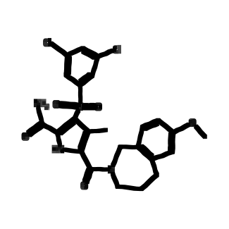 COc1ccc2c(c1)CCCN(C(=O)c1[nH]c(C(N)=O)c(S(=O)(=O)c3cc(Cl)cc(Cl)c3)c1C)C2